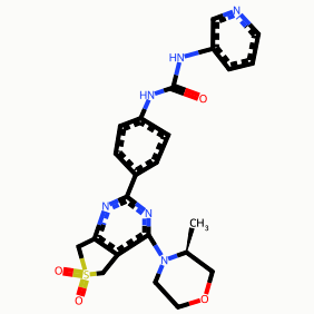 C[C@H]1COCCN1c1nc(-c2ccc(NC(=O)Nc3cccnc3)cc2)nc2c1CS(=O)(=O)C2